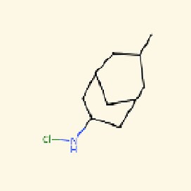 CC1CC2CC(C1)CC(NCl)C2